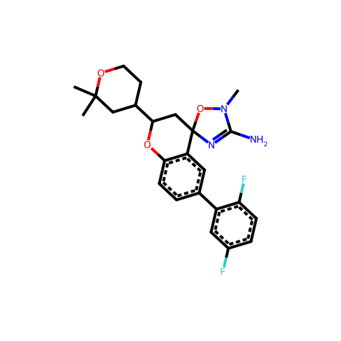 CN1OC2(CC(C3CCOC(C)(C)C3)Oc3ccc(-c4cc(F)ccc4F)cc32)N=C1N